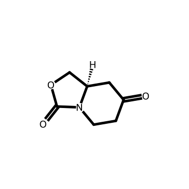 O=C1CCN2C(=O)OC[C@H]2C1